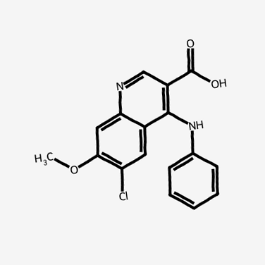 COc1cc2ncc(C(=O)O)c(Nc3ccccc3)c2cc1Cl